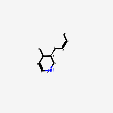 C/C=C\C[C@H]1CNC=CC1C